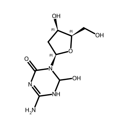 NC1=NC(=O)N([C@H]2C[C@@H](O)[C@@H](CO)O2)C(O)N1